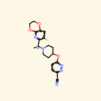 C[C@@H](c1nc2c(cc1F)OCCO2)N1CCC(Oc2ccc(C#N)nn2)CC1